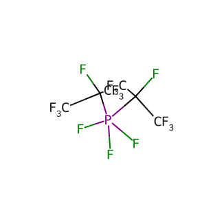 FC(F)(F)C(F)(C(F)(F)F)P(F)(F)(F)C(F)(C(F)(F)F)C(F)(F)F